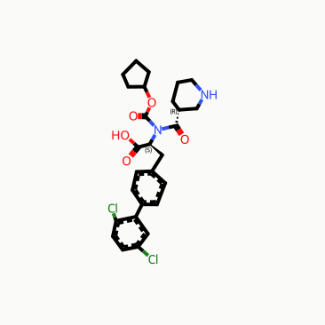 O=C(O)[C@H](Cc1ccc(-c2cc(Cl)ccc2Cl)cc1)N(C(=O)OC1CCCC1)C(=O)[C@@H]1CCCNC1